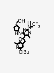 Cc1nc(OCC(C)C)cc2c1OC(c1c(C)nc(NCC(F)(F)F)nc1N[C@H]1CC[C@@H](CO)C1)C2